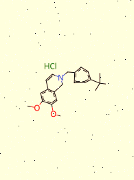 COc1cc2c(cc1OC)CN(Cc1ccc(C(C)(C)C)cc1)C=C2.Cl